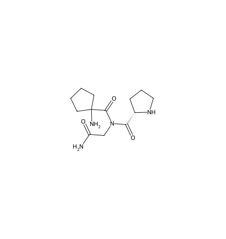 NC(=O)CN(C(=O)[C@@H]1CCCN1)C(=O)C1(N)CCCC1